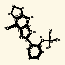 O=c1c2nc(-c3ccccc3OC(F)(F)F)oc2nc2n1CCC2